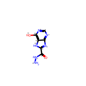 NNC(=O)c1nc2ncnc(O)c2[nH]1